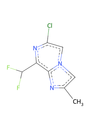 Cc1cn2cc(Cl)nc(C(F)F)c2n1